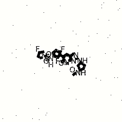 CC(=O)N[C@H]1CC[C@H](Nc2ncc3cc(-c4c(F)ccc(NS(=O)(=O)N5CC[C@@H](F)C5)c4F)c(=O)n(C)c3n2)C1